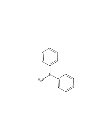 BN(c1ccccc1)c1ccccc1